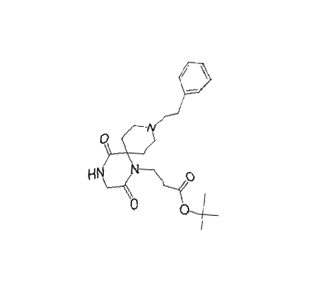 CC(C)(C)OC(=O)CCN1C(=O)CNC(=O)C12CCN(CCc1ccccc1)CC2